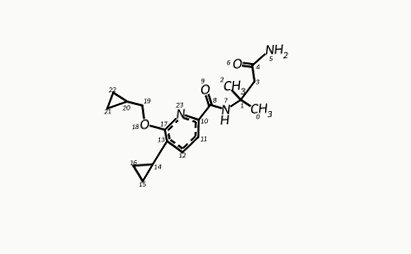 CC(C)(CC(N)=O)NC(=O)c1ccc(C2CC2)c(OCC2CC2)n1